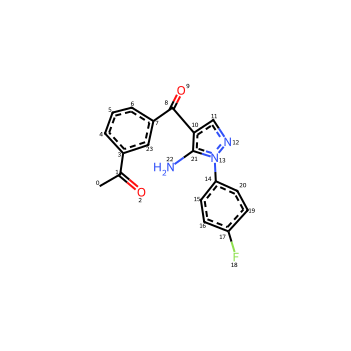 CC(=O)c1cccc(C(=O)c2cnn(-c3ccc(F)cc3)c2N)c1